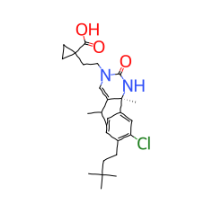 CC(C)C1=CN(CCC2(C(=O)O)CC2)C(=O)N[C@@]1(C)c1ccc(CCC(C)(C)C)c(Cl)c1